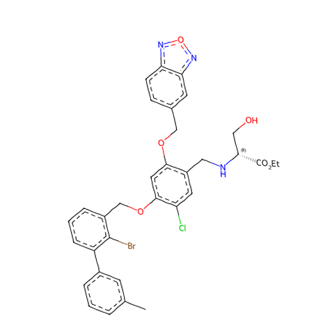 CCOC(=O)[C@@H](CO)NCc1cc(Cl)c(OCc2cccc(-c3cccc(C)c3)c2Br)cc1OCc1ccc2nonc2c1